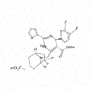 COC(=O)C1=C(CN2[C@H]3C[C@@H](CC(=O)O)C[C@@H]2C(F)(F)C3)NC(c2nccs2)=N[C@H]1c1ccc(F)c(F)c1